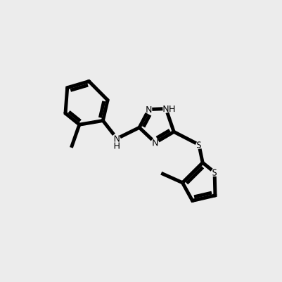 Cc1ccccc1Nc1n[nH]c(Sc2sccc2C)n1